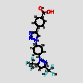 O=C(O)c1ccc(-c2cn(-c3ccc(-n4nc(C(F)(F)F)cc4C(F)(F)F)cc3)nn2)cc1